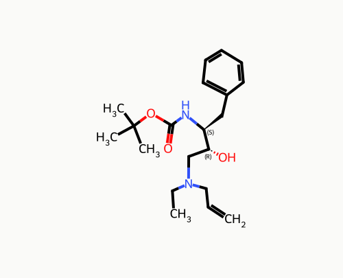 C=CCN(CC)C[C@@H](O)[C@H](Cc1ccccc1)NC(=O)OC(C)(C)C